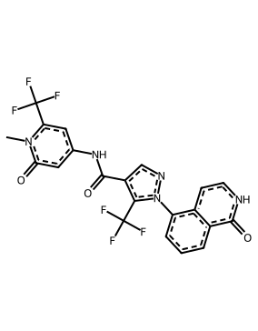 Cn1c(C(F)(F)F)cc(NC(=O)c2cnn(-c3cccc4c(=O)[nH]ccc34)c2C(F)(F)F)cc1=O